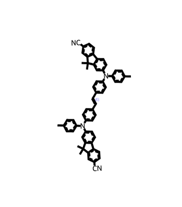 Cc1ccc(N(c2ccc(/C=C/c3ccc(N(c4ccc(C)cc4)c4ccc5c(c4)C(C)(C)c4cc(C#N)ccc4-5)cc3)cc2)c2ccc3c(c2)C(C)(C)c2cc(C#N)ccc2-3)cc1